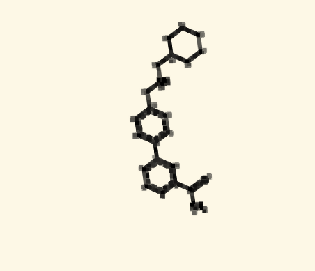 NC(=O)c1cccc(-c2ccc(CNCC3CCCCC3)cc2)c1